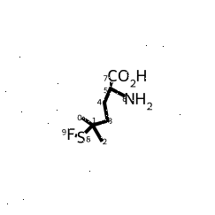 CC(C)(CC[C@H](N)C(=O)O)SF